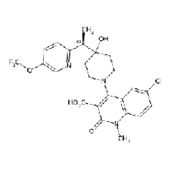 C[C@H](c1ccc(OC(F)(F)F)cn1)C1(O)CCN(c2c(C(=O)O)c(=O)n(C)c3ccc(Cl)cc23)CC1